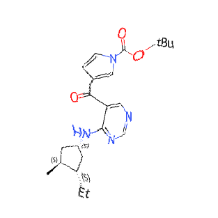 CC[C@H]1C[C@@H](Nc2ncncc2C(=O)c2ccn(C(=O)OC(C)(C)C)c2)C[C@@H]1C